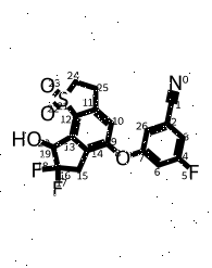 N#Cc1cc(F)cc(Oc2cc3c(c4c2CC(F)(F)C4O)S(=O)(=O)CC3)c1